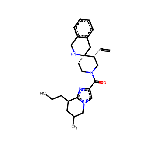 C=C[C@@H]1CN(C(=O)c2cn3c(n2)C(CCC#N)CC(C(F)(F)F)C3)CC[C@]12Cc1ccccc1CN2